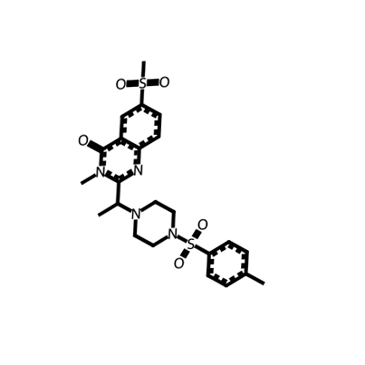 Cc1ccc(S(=O)(=O)N2CCN(C(C)c3nc4ccc(S(C)(=O)=O)cc4c(=O)n3C)CC2)cc1